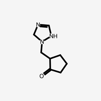 O=C1CCCC1CN1CN=CN1